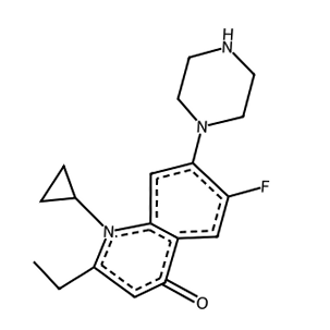 CCc1cc(=O)c2cc(F)c(N3CCNCC3)cc2n1C1CC1